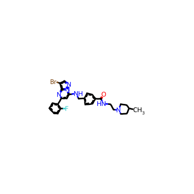 CC1CCN(CCNC(=O)c2ccc(CNc3cc(-c4ccccc4F)nc4c(Br)cnn34)cc2)CC1